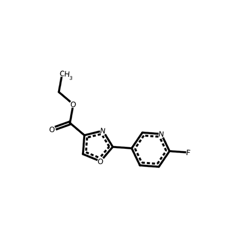 CCOC(=O)c1coc(-c2ccc(F)nc2)n1